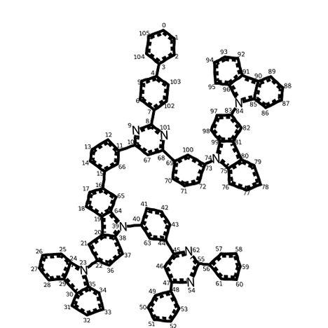 c1ccc(-c2ccc(-c3nc(-c4cccc(-c5ccc6c7cc(-n8c9ccccc9c9ccccc98)ccc7n(-c7cccc(-c8cc(-c9ccccc9)nc(-c9ccccc9)n8)c7)c6c5)c4)cc(-c4cccc(-n5c6ccccc6c6cc(-n7c8ccccc8c8ccccc87)ccc65)c4)n3)cc2)cc1